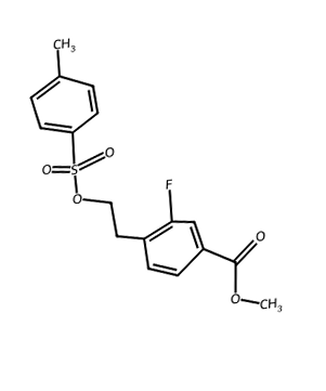 COC(=O)c1ccc(CCOS(=O)(=O)c2ccc(C)cc2)c(F)c1